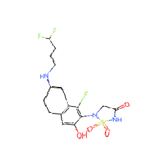 O=C1CN(c2c(O)cc3c(c2F)C[C@H](NCCCC(F)F)CC3)S(=O)(=O)N1